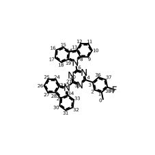 Cc1cc(-c2nc(-n3c4ccccc4c4ccccc43)nc(-n3c4ccccc4c4ccccc43)n2)ccc1F